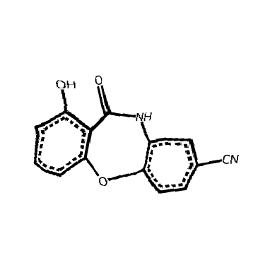 N#Cc1ccc2c(c1)NC(=O)c1c(O)cccc1O2